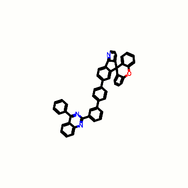 c1ccc(-c2nc(-c3cccc(-c4ccc(-c5ccc6c(c5)C5(c7ccccc7Oc7ccccc75)c5cccnc5-6)cc4)c3)nc3ccccc23)cc1